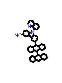 N#Cc1ccc2c(c1)c1cc(-c3c4ccccc4c(-c4c5ccccc5cc5ccccc45)c4ccccc34)ccc1n2-c1cccc2cccnc12